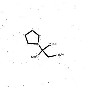 CO[CH]C(OC)(OC)N1CCCC1